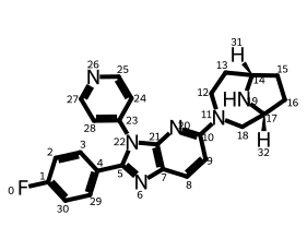 Fc1ccc(-c2nc3ccc(N4CC[C@@H]5CC[C@H](C4)N5)nc3n2-c2ccncc2)cc1